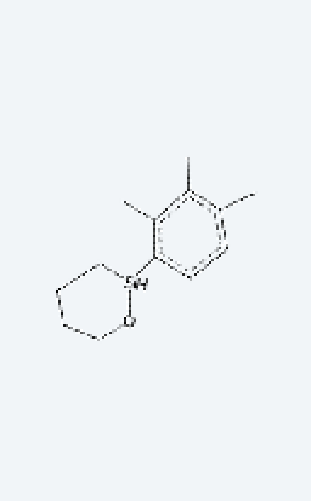 Cc1ccc([SiH]2CCCCO2)c(C)c1C